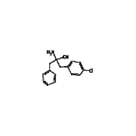 N#CC(N)(Cc1ccccc1)Cc1ccc(Cl)cc1